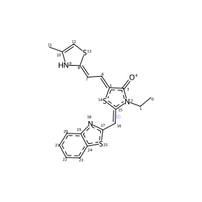 CCn1c(=O)c(=CC=C2NC(C)=CS2)s/c1=C\c1nc2ccccc2s1